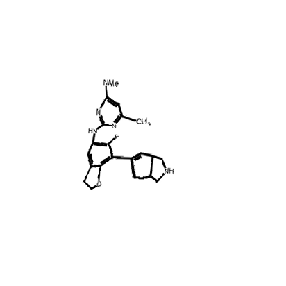 CNc1cc(C)nc(Nc2cc3c(c(C4=CC5CNCC5C4)c2F)OCC3)n1